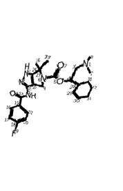 CN(C)CC(OC(=O)N1Cc2c(NC(=O)c3ccc(F)cc3)n[nH]c2C1(C)C)C1CCCCC1